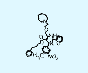 Cc1ccc(C2N=C(c3ccco3)NC(COCCN3CCCCCC3)=C2C(=O)OCCCc2ccccc2)cc1[N+](=O)[O-]